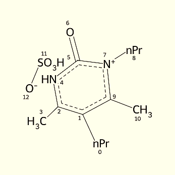 CCCc1c(C)[nH]c(=O)[n+](CCC)c1C.O=S(=O)([O-])O